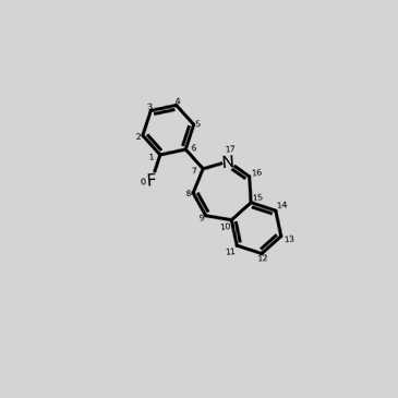 Fc1ccccc1C1C=Cc2ccccc2C=N1